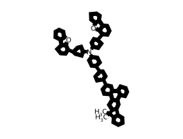 CC1(C)c2ccccc2-c2cc3c4ccccc4c4cc(-c5ccc(-c6ccc(N(c7ccc(-c8cccc9c8oc8ccccc89)cc7)c7ccc(-c8cccc9c8oc8ccccc89)cc7)cc6)cc5)ccc4c3cc21